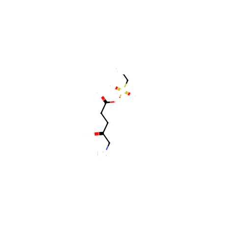 NCC(=O)CCC(=O)OS(=O)(=O)[CH2][Ag]